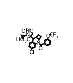 O=CCC(NC1CC1)(C(=O)O)C1c2ccc(Cl)cc2N(C(=O)c2cccc(OC(F)(F)F)c2)C2CCC21